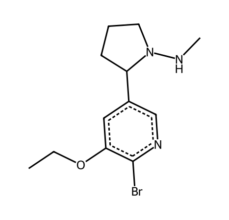 CCOc1cc(C2CCCN2NC)cnc1Br